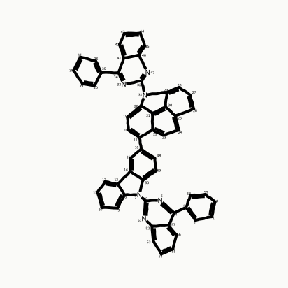 c1ccc(-c2nc(-n3c4ccccc4c4cc(-c5ccc6c7c5ccc5cccc(c57)n6-c5nc(-c6ccccc6)c6ccccc6n5)ccc43)nc3ccccc23)cc1